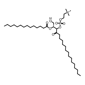 CCCCCCCCCCCCCCCC(=O)C(OP(=O)([O-])OCC[N+](C)(C)C)[C@H](CO)OC(=O)CCCCCCCCCCCCC